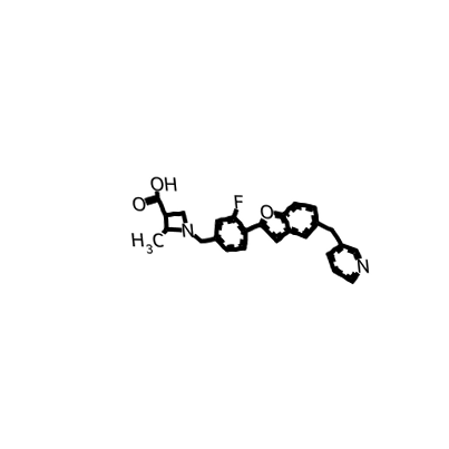 CC1C(C(=O)O)CN1Cc1ccc(-c2cc3cc(Cc4cccnc4)ccc3o2)c(F)c1